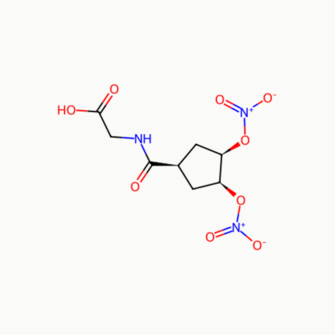 O=C(O)CNC(=O)[C@@H]1C[C@H](O[N+](=O)[O-])[C@H](O[N+](=O)[O-])C1